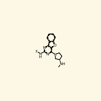 CN[C@@H]1CCN(c2nc(NF)nc3c2oc2ccccc23)C1